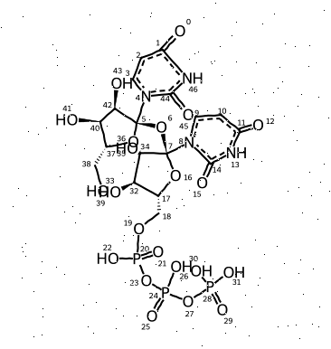 O=c1ccn([C@]2(O[C@@]3(n4ccc(=O)[nH]c4=O)O[C@H](COP(=O)(O)OP(=O)(O)OP(=O)(O)O)[C@@H](O)[C@H]3O)O[C@H](CO)[C@@H](O)[C@H]2O)c(=O)[nH]1